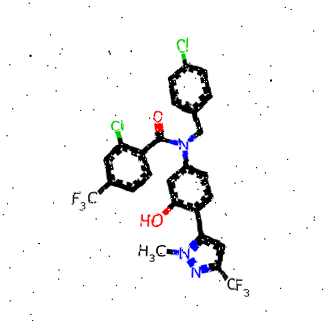 Cn1nc(C(F)(F)F)cc1-c1ccc(N(Cc2ccc(Cl)cc2)C(=O)c2ccc(C(F)(F)F)cc2Cl)cc1O